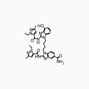 CCn1nc(C)cc1C(=O)Nc1nc2cc(C(N)=O)ccc2n1CCCCn1c(NC(=O)c2cc(C)nn2CC)nc2c(O)cccc21